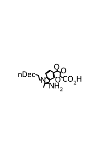 CCCCCCCCCCCCn1c(C)c(N)c2c3c(ccc21)C(=O)C(=O)C(C(=O)O)O3